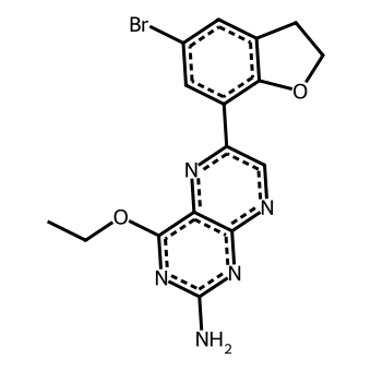 CCOc1nc(N)nc2ncc(-c3cc(Br)cc4c3OCC4)nc12